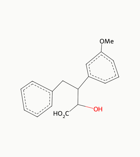 COc1cccc(C(Cc2ccccc2)C(O)C(=O)O)c1